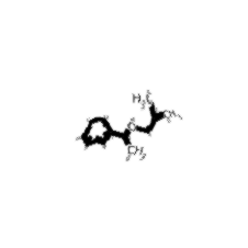 CC(C)COC(C)c1ccccc1